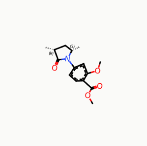 COC(=O)c1ccc(N2C(=O)[C@H](C)C[C@@H]2C)cc1OC